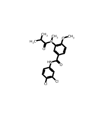 COc1ccc(C(=O)Nc2ccc(Cl)c(Cl)c2)cc1N(C)C(=O)C(C)C